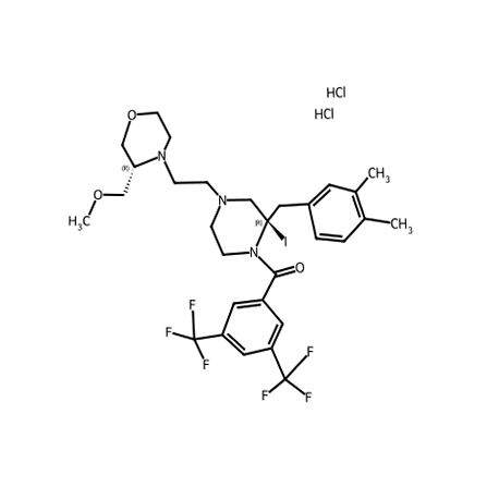 COC[C@@H]1COCCN1CCN1CCN(C(=O)c2cc(C(F)(F)F)cc(C(F)(F)F)c2)[C@@](I)(Cc2ccc(C)c(C)c2)C1.Cl.Cl